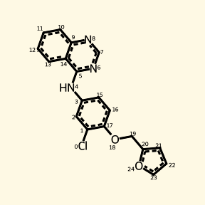 Clc1cc(Nc2ncnc3cc[c]cc23)ccc1OCc1ccco1